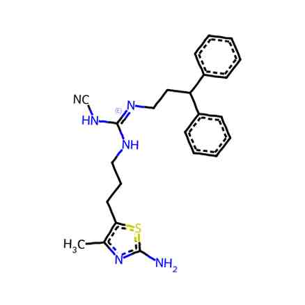 Cc1nc(N)sc1CCCN/C(=N\CCC(c1ccccc1)c1ccccc1)NC#N